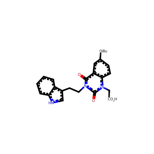 CC(C)COc1ccc2c(c1)c(=O)n(CCc1c[nH]c3ccccc13)c(=O)n2CC(=O)O